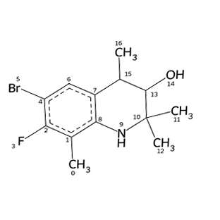 Cc1c(F)c(Br)cc2c1NC(C)(C)C(O)C2C